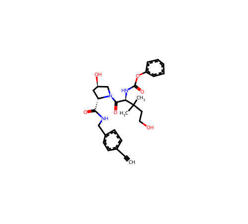 C#Cc1ccc(CNC(=O)[C@@H]2C[C@@H](O)CN2C(=O)[C@@H](NC(=O)Oc2ccccc2)C(C)(C)CCO)cc1